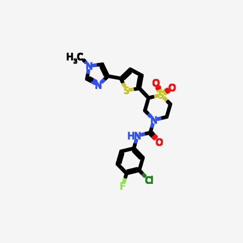 Cn1cnc(-c2ccc(C3CN(C(=O)Nc4ccc(F)c(Cl)c4)CCS3(=O)=O)s2)c1